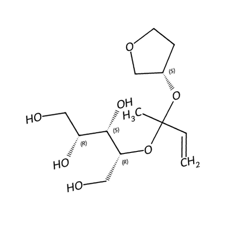 C=CC(C)(O[C@H]1CCOC1)O[C@H](CO)[C@@H](O)[C@H](O)CO